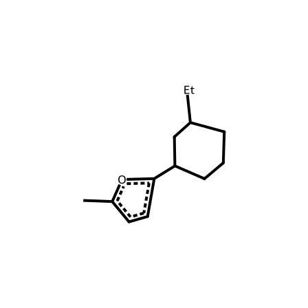 CCC1CCCC(c2ccc(C)o2)C1